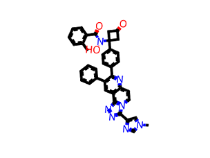 Cc1ccccc1C(=O)N(O)C1(c2ccc(-c3nc4ccn5c(-c6cn(C)cn6)nnc5c4cc3-c3ccccc3)cc2)CC(=O)C1